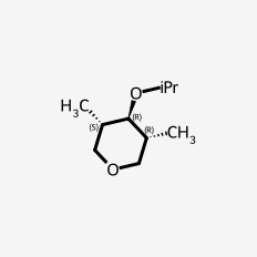 CC(C)O[C@H]1[C@H](C)COC[C@@H]1C